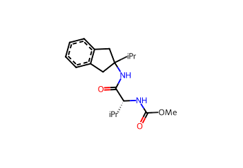 COC(=O)N[C@@H](C(=O)NC1(C(C)C)Cc2ccccc2C1)C(C)C